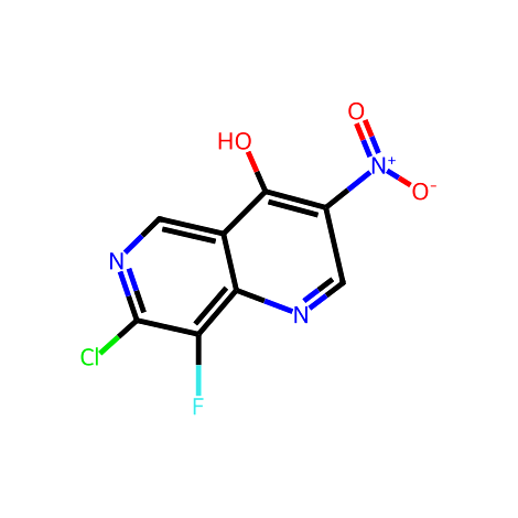 O=[N+]([O-])c1cnc2c(F)c(Cl)ncc2c1O